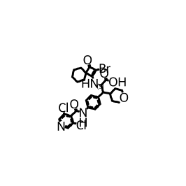 O=C(Nc1ccc(C(C2CCOCC2)[C@H](NC2=C(Br)C(=O)C23CCCCC3)C(=O)O)cc1)c1c(Cl)cncc1Cl